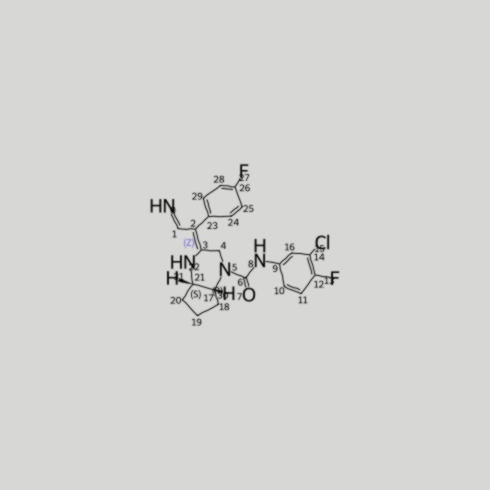 N=C/C(=C1/CN(C(=O)Nc2ccc(F)c(Cl)c2)[C@@H]2CCC[C@@H]2N1)c1ccc(F)cc1